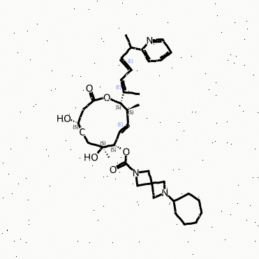 C/C(=C\C=C\C(C)c1ccccn1)[C@H]1OC(=O)C[C@@H](O)CC[C@](C)(O)[C@@H](OC(=O)N2CC3(C2)CN(C2CCCCCC2)C3)/C=C/[C@@H]1C